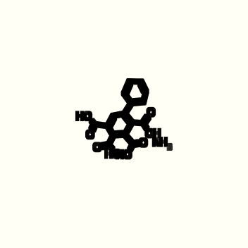 N.O=C(O)c1cc(-c2ccccc2)c(C(=O)O)c(C(=O)O)c1C(=O)O